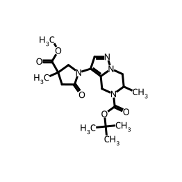 COC(=O)C1(C)CC(=O)N(c2cnn3c2CN(C(=O)OC(C)(C)C)C(C)C3)C1